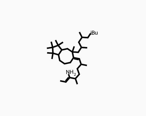 C/C=C(\N)C(C)CCC(C)/C=C1\CCCC2C(CC1(C)CC(C)CC(C)CC(C)CC)C(C)(C)C(C)(C)C2(C)C